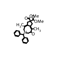 COC(=O)C1(C(=O)OC)CC2=C(C)CN(C(c3ccccc3)c3ccccc3)CC(=O)C(C)=C2C1